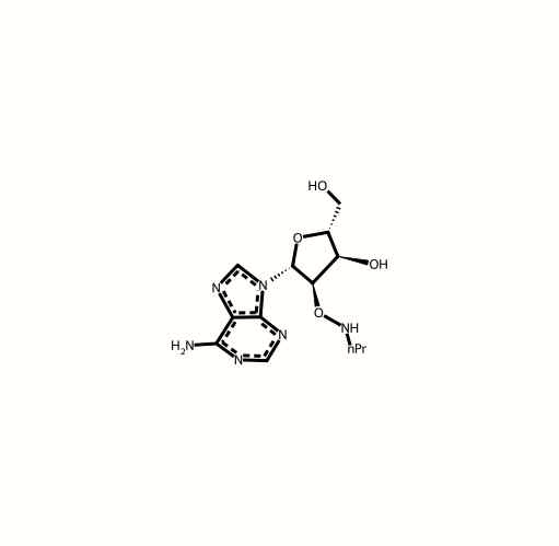 CCCNO[C@@H]1[C@H](O)[C@@H](CO)O[C@H]1n1cnc2c(N)ncnc21